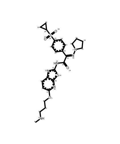 CNCCCOc1ccc2nc(NC(=O)/C(=N/N3CCCC3)c3ccc(S(=O)(=O)C4CC4)cc3)sc2n1